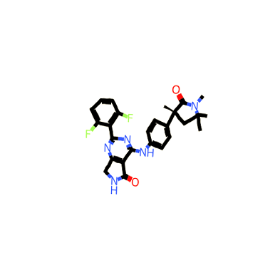 CN1C(=O)[C@@](C)(c2ccc(Nc3nc(-c4c(F)cccc4F)nc4c3C(=O)NC4)cc2)CC1(C)C